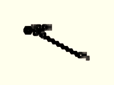 CCCCCCCCCCCCCCCCOC[C@H](OCc1ccccc1)[C@@H](O)CO